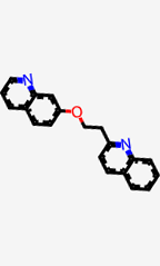 c1cnc2cc(OCCc3ccc4ccccc4n3)ccc2c1